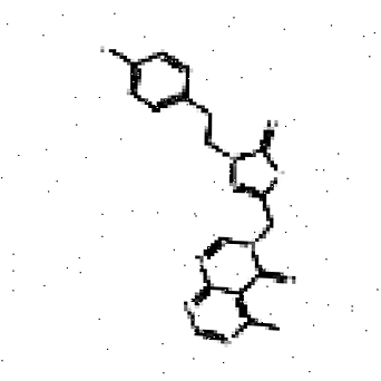 Cc1ncnc2ncn(Cc3nn(CCc4ccc(Cl)cc4)c(=O)o3)c(=O)c12